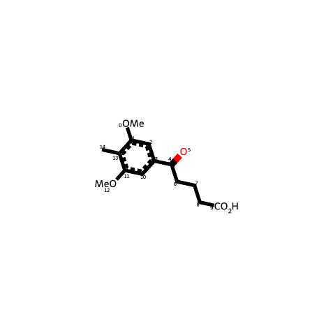 COc1cc(C(=O)CCCC(=O)O)cc(OC)c1C